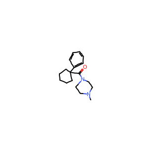 CN1CCN(C(=O)C2(c3ccccc3)CCCCC2)CC1